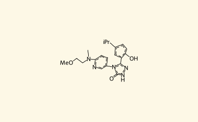 COCCN(C)c1ccc(-n2c(-c3cc(C(C)C)ccc3O)n[nH]c2=O)cn1